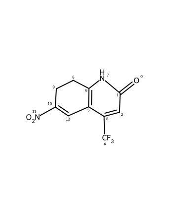 O=c1cc(C(F)(F)F)c2c([nH]1)CCC([N+](=O)[O-])=C2